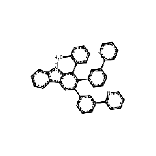 Cc1ccccc1-c1c(-c2cccc(-c3ccccn3)c2)c(-c2cccc(-c3ccccn3)c2)cc2c1[nH]c1ccccc12